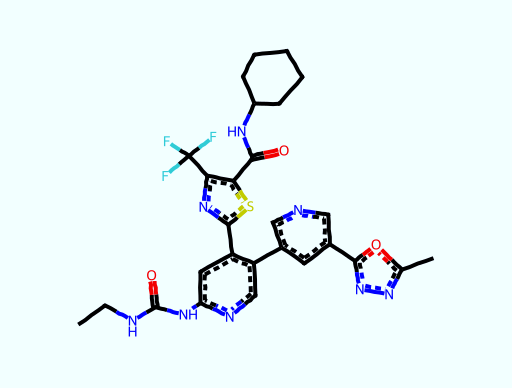 CCNC(=O)Nc1cc(-c2nc(C(F)(F)F)c(C(=O)NC3CCCCC3)s2)c(-c2cncc(-c3nnc(C)o3)c2)cn1